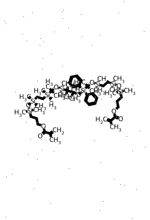 C=C(C)C(=O)OCCC[Si](C)(C)O[Si](C)(C)CC[Si](C)(C)OC(C)(C)[Si](OC(C)(C)C(C)(C)[Si](C)(C)OC(C)(C)[Si](C)(C)CC[Si](C)(C)O[Si](C)(C)CCCOC(=O)C(=C)C)(c1ccccc1)c1ccccc1